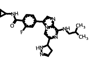 CC(C)CNc1nc(C2CC=NN2)cn2c(-c3ccc(C(=O)NC4CC4)c(F)c3)cnc12